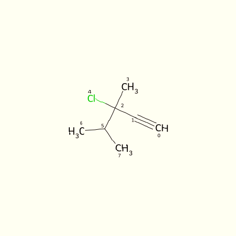 C#CC(C)(Cl)C(C)C